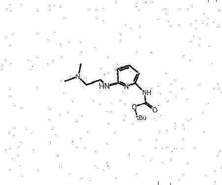 CN(C)CCNc1cccc(NC(=O)OC(C)(C)C)n1